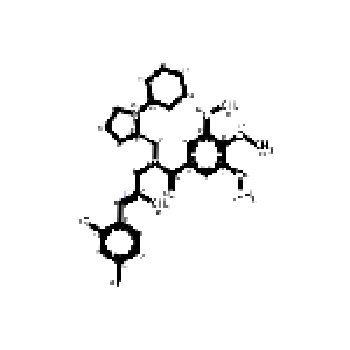 COc1cc(C(=O)N(C/C(C)=C/c2ccc(F)cc2F)C[C@H]2CCCN2C2CCCCC2)cc(OC)c1OC